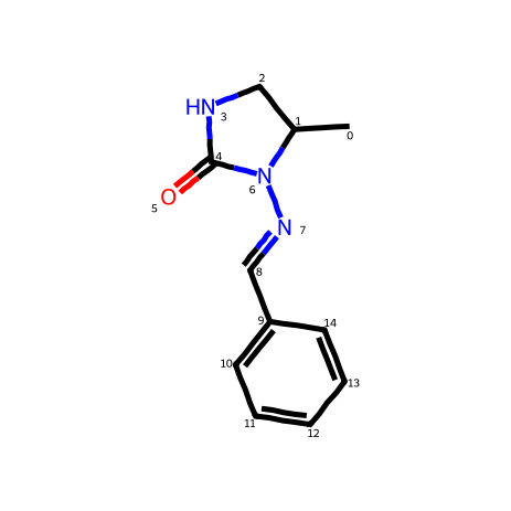 CC1CNC(=O)N1/N=C/c1ccccc1